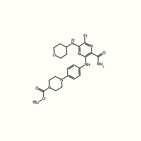 CCc1nc(C(N)=O)c(Nc2ccc(N3CCN(C(=O)OC(C)(C)C)CC3)cc2)nc1NC1CCOCC1